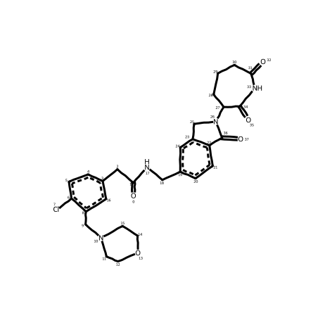 O=C(Cc1ccc(Cl)c(CN2CCOCC2)c1)NCc1ccc2c(c1)CN(C1CCCC(=O)NC1=O)C2=O